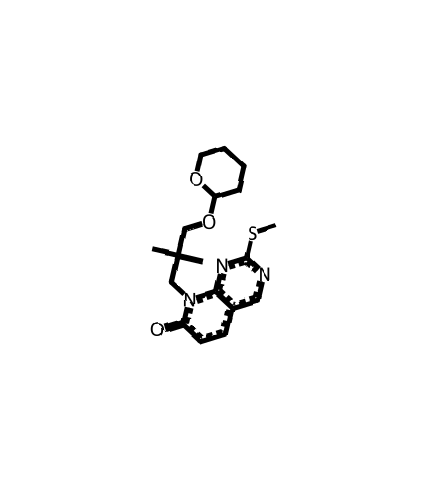 CSc1ncc2ccc(=O)n(CC(C)(C)COC3CCCCO3)c2n1